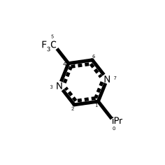 CC(C)c1cnc(C(F)(F)F)cn1